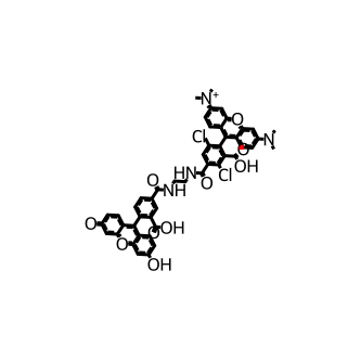 CN(C)c1ccc2c(-c3c(Cl)cc(C(=O)NCCNC(=O)c4ccc(-c5c6ccc(=O)cc-6oc6cc(O)ccc56)c(C(=O)O)c4)c(Cl)c3C(=O)O)c3ccc(=[N+](C)C)cc-3oc2c1